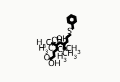 CC(C)(C)C(CCCSCc1ccccc1)C(O)C(CCCC(=O)O)C(C)(C)C